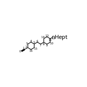 C#CC1CCC(CCC2CCC(CCCCCCC)CC2)CC1